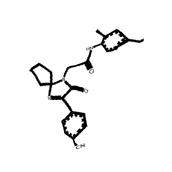 Cc1ccc(NC(=O)CN2C(=O)C(c3ccc(C#N)cc3)=NC23CCCC3)c(C)c1